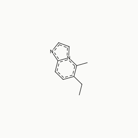 CCc1ccc2nccn2c1C